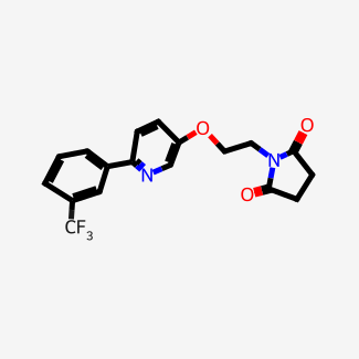 O=C1CCC(=O)N1CCOc1ccc(-c2cccc(C(F)(F)F)c2)nc1